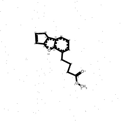 COC(=O)CCCc1cccc2c3c(oc12)C=CC3